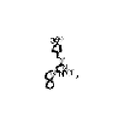 CN(Cc1ccc(S(C)(=O)=O)cc1)c1cc(N2CCCC3(CCCCC3)C2)nc(C(F)(F)F)n1